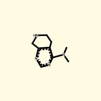 CN(C)c1ncnc2c1CCNC2